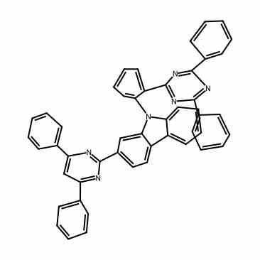 c1ccc(-c2cc(-c3ccccc3)nc(-c3ccc4c5ccccc5n(-c5ccccc5-c5nc(-c6ccccc6)nc(-c6ccccc6)n5)c4c3)n2)cc1